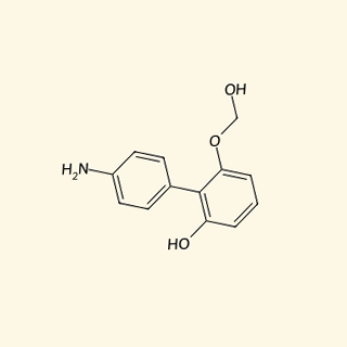 Nc1ccc(-c2c(O)cccc2OCO)cc1